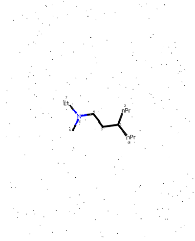 CCCC(CCC)CCN(C)CC